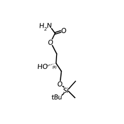 CC(C)(C)[Si](C)(C)OC[C@H](O)COC(N)=O